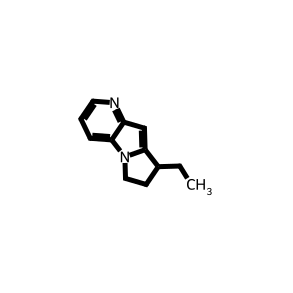 CCC1CCn2c1cc1ncccc12